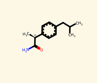 CC(C)Cc1ccc([C@H](C)C(N)=O)cc1